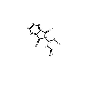 O=CC[C@@H](CF)N1C(=O)c2ccccc2C1=O